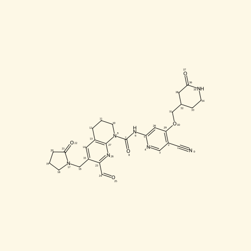 N#Cc1cnc(NC(=O)N2CCCc3cc(CN4CCCC4=O)c(C=O)nc32)cc1OCC1CCNC(=O)C1